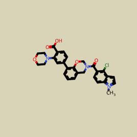 Cn1ccc2c(Cl)c(C(=O)N3COc4c(cccc4-c4ccc(C(=O)O)c(N5CCOCC5)c4)C3)ccc21